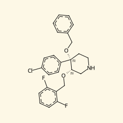 Fc1cccc(F)c1CO[C@H]1CNCC[C@]1(OCc1ccccc1)c1ccc(Cl)cc1